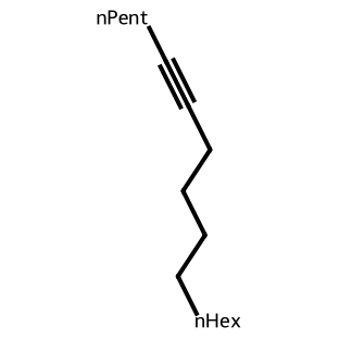 [CH2]CCCCC#CCCCCCCCCC[CH2]